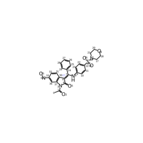 CC(=O)N1C(=O)/C(=C(\Nc2ccc(S(=O)(=O)N3CCOCC3)cc2)c2ccccc2)c2ccc(N=O)cc21